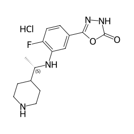 C[C@H](Nc1cc(-c2n[nH]c(=O)o2)ccc1F)C1CCNCC1.Cl